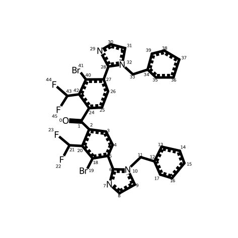 O=C(c1ccc(-c2nccn2Cc2ccccc2)c(Br)c1C(F)F)c1ccc(-c2nccn2Cc2ccccc2)c(Br)c1C(F)F